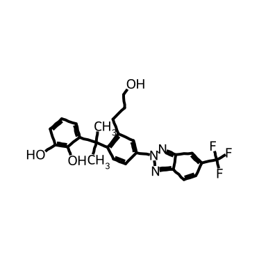 CC(C)(c1ccc(-n2nc3ccc(C(F)(F)F)cc3n2)cc1CCCO)c1cccc(O)c1O